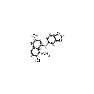 Nc1c(Cl)ccc2nc(O)nc(Cc3ccc4c(c3)OCO4)c12